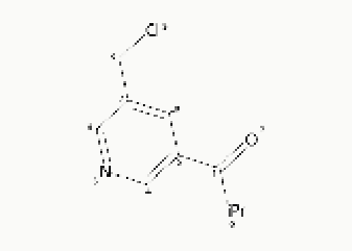 CC(C)C(=O)c1cncc(CCl)c1